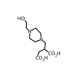 O=C(O)CC(CN1CCN(CCO)CC1)C(=O)O